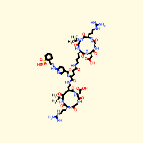 CC(C)[C@@H]1NC(=O)[C@@H](CCCNC(=N)N)NC(=O)CNC(=O)[C@@H](CC(=O)O)NC(=O)C(CCNC(=O)C(CCC(=O)NCCCC[C@H]2NC(=O)[C@H](C(C)C)NC(=O)[C@@H](CCCNC(=N)N)NC(=O)CNC(=O)[C@@H](CC(=O)O)NC2=O)=NC(=O)c2ccc(NN=Cc3ccccc3S(=O)(=O)O)nc2)CC1=O